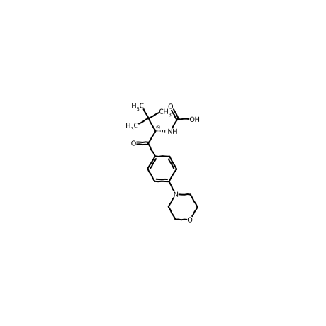 CC(C)(C)[C@H](NC(=O)O)C(=O)c1ccc(N2CCOCC2)cc1